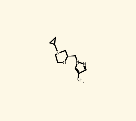 Nc1cnn(C[C@@H]2CN(C3CC3)CCO2)c1